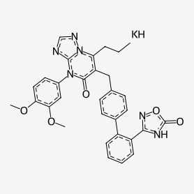 CCCc1c(Cc2ccc(-c3ccccc3-c3noc(=O)[nH]3)cc2)c(=O)n(-c2ccc(OC)c(OC)c2)c2ncnn12.[KH]